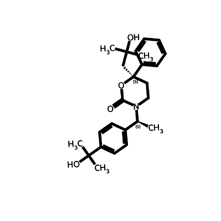 C[C@@H](c1ccc(C(C)(C)O)cc1)N1CC[C@](CC(C)(C)O)(c2ccccc2)OC1=O